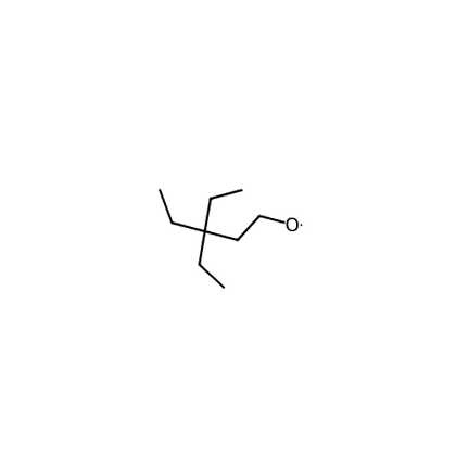 CCC(CC)(CC)CC[O]